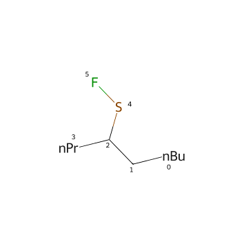 CCCCCC(CCC)SF